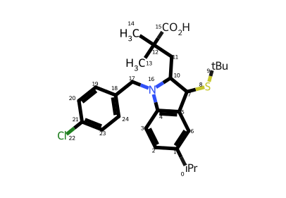 CC(C)c1ccc2c(c1)C(SC(C)(C)C)C(CC(C)(C)C(=O)O)N2Cc1ccc(Cl)cc1